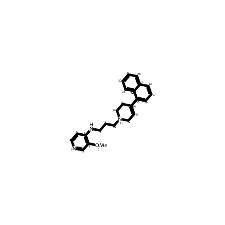 COc1cnccc1NCCCN1CC=C(c2cccc3ccccc23)CC1